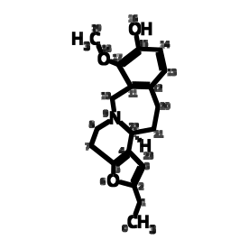 CCc1cc2c(o1)CCN1Cc3c(ccc(O)c3OC)CC[C@@H]21